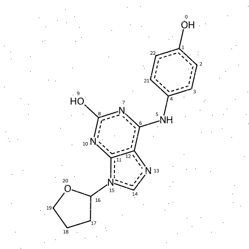 Oc1ccc(Nc2nc(O)nc3c2ncn3C2CCCO2)cc1